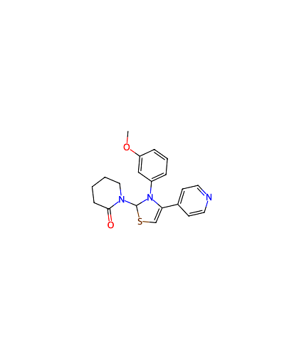 COc1cccc(N2C(c3ccncc3)=CSC2N2CCCCC2=O)c1